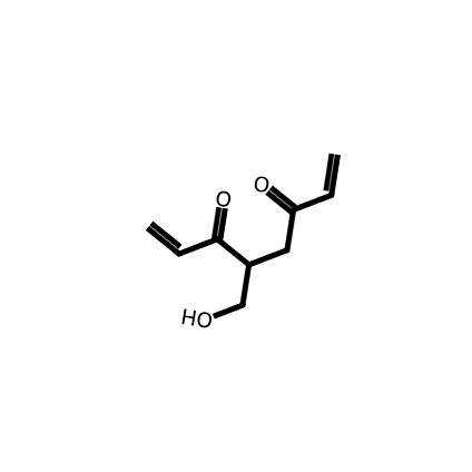 C=CC(=O)CC(CO)C(=O)C=C